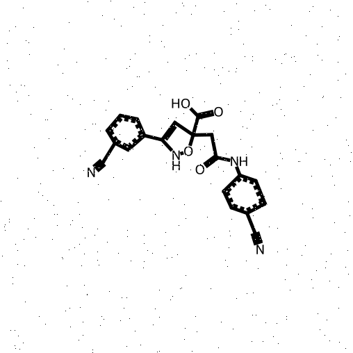 N#Cc1ccc(NC(=O)CC2(C(=O)O)C=C(c3cccc(C#N)c3)NO2)cc1